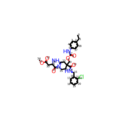 CCc1ccc(NC(=O)OCC2(C(=O)NCc3ccccc3Cl)CCN(C(=O)[C@@H](N)CC(=O)OC)CC2)cc1